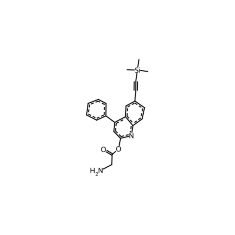 C[Si](C)(C)C#Cc1ccc2nc(OC(=O)CN)cc(-c3ccccc3)c2c1